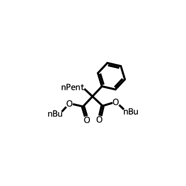 CCCCCC(C(=O)OCCCC)(C(=O)OCCCC)c1ccccc1